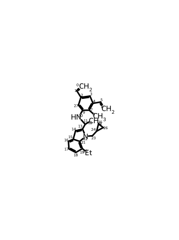 C=Cc1cc(C=C)c(C)c(NC(C)c2cc3cccc(CC)c3n2CC2CC2)c1